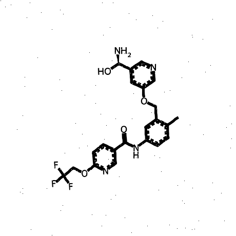 Cc1ccc(NC(=O)c2ccc(OCC(F)(F)F)nc2)cc1COc1cncc([C@H](N)O)c1